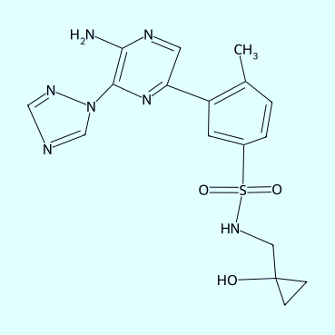 Cc1ccc(S(=O)(=O)NCC2(O)CC2)cc1-c1cnc(N)c(-n2cncn2)n1